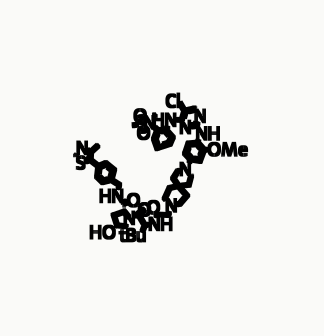 COc1cc(N2CCC3(CCN(CC(=O)NC(C(=O)N4C[C@H](O)C[C@@H]4C(=O)NCc4ccc(-c5scnc5C)cc4)C(C)(C)C)CC3)CC2)ccc1Nc1ncc(Cl)c(Nc2ccccc2N(C)S(C)(=O)=O)n1